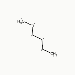 CCC[CH2][Ti][CH3]